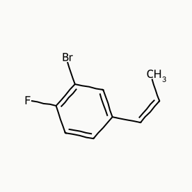 C/C=C\c1ccc(F)c(Br)c1